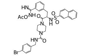 CC(=O)ONC(=N)c1cccc(CC(NS(=O)(=O)c2ccc3ccccc3c2)C(=O)N2CCN(C(=O)NCc3ccc(Br)cc3)CC2)c1